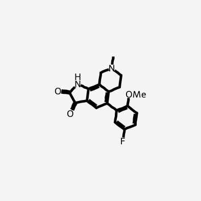 COc1ccc(F)cc1-c1cc2c(c3c1CCN(C)C3)NC(=O)C2=O